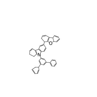 C1=CCC(c2cc(-c3ccccc3)cc(-n3c4c(c5cc(C6CC=CC7=C6OC6C=CC=CC76)ccc53)C=CCC4)c2)C=C1